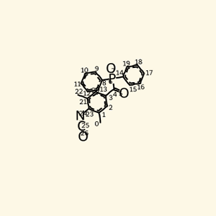 Cc1cc(C(=O)P(=O)(c2ccccc2)c2ccccc2)cc(C)c1N=C=O